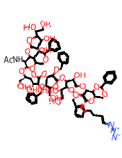 CC(=O)NC1C(O[C@H](CO)C2OC(OC3C(OCc4ccccc4)C(CO)OC(OC4C(O)C(OC5C6OC(c7ccccc7)OCC6OC(OCCCCCN=[N+]=[N-])C5OCc5ccccc5)OC4[C@H](O)CO)C3OCc3ccccc3)C(O)C2O)OC2COC(c3ccccc3)CC2C1OC1OC([C@H](O)CO)C(O)C1O